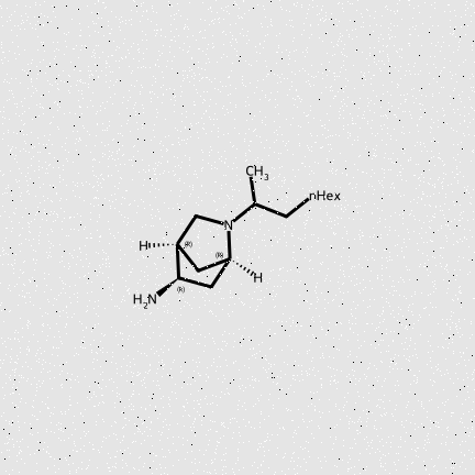 CCCCCCCC(C)N1C[C@H]2C[C@@H]1C[C@H]2N